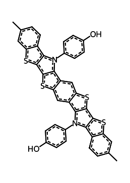 Cc1ccc2c(c1)sc1c3sc4cc5c(cc4c3n(-c3ccc(O)cc3)c21)sc1c2sc3cc(C)ccc3c2n(-c2ccc(O)cc2)c51